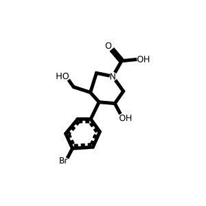 O=C(O)N1CC(O)C(c2ccc(Br)cc2)C(CO)C1